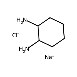 NC1CCCCC1N.[Cl-].[Na+]